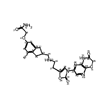 NC(=O)COc1cc(F)c2c(c1)CC(CNCCc1cn(-c3cnc4c(n3)NC(=O)CO4)c(=O)o1)C2